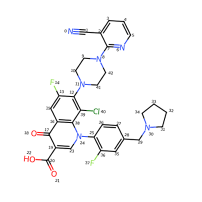 N#Cc1cccnc1N1CCN(c2c(F)cc3c(=O)c(C(=O)O)cn(-c4ccc(CN5CCCC5)cc4F)c3c2Cl)CC1